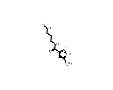 CCNCCCNC(=O)c1cc(OC)on1